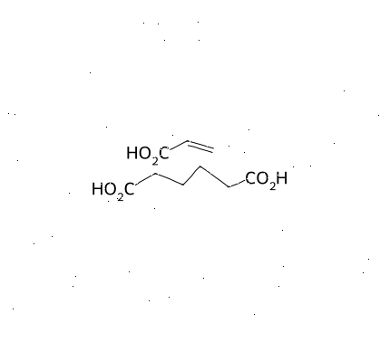 C=CC(=O)O.O=C(O)CCCCC(=O)O